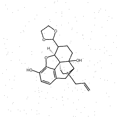 C=CCN1CC[C@]23c4c5ccc(O)c4O[C@H]2C(C2OCCO2)CCC3(O)C1C5